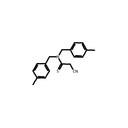 Cc1ccc(CN(Cc2ccc(C)cc2)C(=S)CC#N)cc1